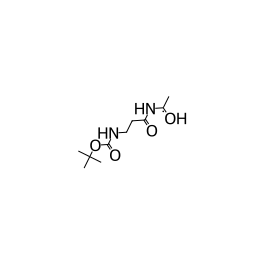 C[C](O)NC(=O)CCNC(=O)OC(C)(C)C